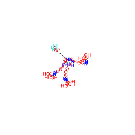 O=C(CCC(CCC(=O)NCCOCCOCCOCc1cn(C[C@H]2CO[C@H](CO)[C@H](O)[C@@H]2O)nn1)(CCC(=O)NCCOCCOCCOCc1cn(C[C@H]2CO[C@H](CO)[C@H](O)[C@@H]2O)nn1)NC(=O)CCCCCCCCCCC(=O)Oc1c(F)c(F)c(F)c(F)c1F)NCCOCCOCCOCc1cn(C[C@H]2CO[C@H](CO)[C@H](O)[C@@H]2O)nn1